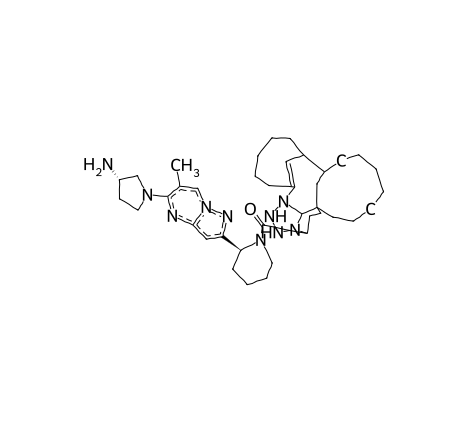 Cc1cn2nc([C@@H]3CCCCN3C(=O)C3CCC45CCCCCCCC(C4)C4/C=C(\CCCCC4)N4NNN3C45)cc2nc1N1CC[C@H](N)C1